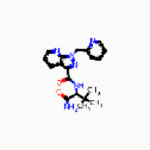 CC(C)(C)[C@H](NC(=O)c1nn(Cc2ccccn2)c2ncccc12)C(N)=O